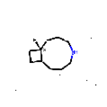 C1CNCCC[C@H]2CCC2C1